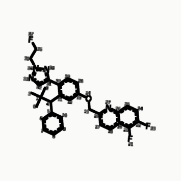 CC(C)(C)C(c1ccccc1)c1cc(OCc2ccc3c(F)c(F)ccc3n2)ccc1-c1cnn(CCF)n1